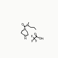 CCCN(C)C(=O)N1CCNCC1.O=C(O)C(F)(F)F